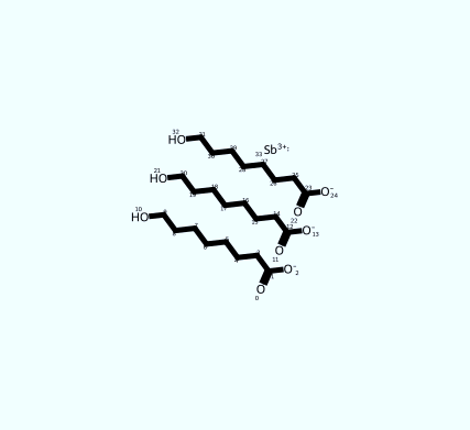 O=C([O-])CCCCCCCO.O=C([O-])CCCCCCCO.O=C([O-])CCCCCCCO.[Sb+3]